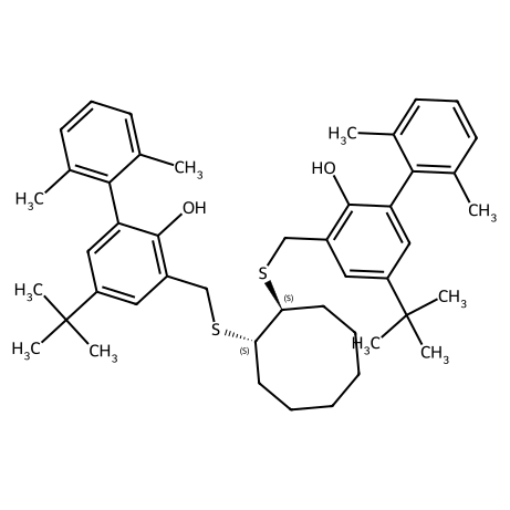 Cc1cccc(C)c1-c1cc(C(C)(C)C)cc(CS[C@H]2CCCCCC[C@@H]2SCc2cc(C(C)(C)C)cc(-c3c(C)cccc3C)c2O)c1O